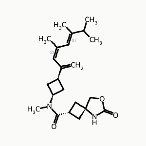 C=C(/C=C(C)\C=C(/C)C(C)C)[C@H]1C[C@@H](N(C)C(=O)[C@H]2C[C@]3(COC(=O)N3)C2)C1